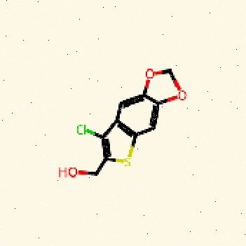 OCc1sc2cc3c(cc2c1Cl)OCO3